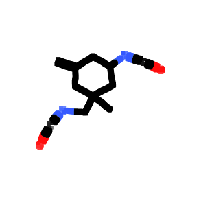 C=C1CC(N=C=O)CC(C)(CN=C=O)C1